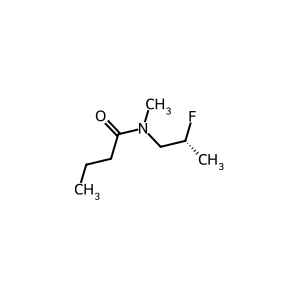 CCCC(=O)N(C)C[C@@H](C)F